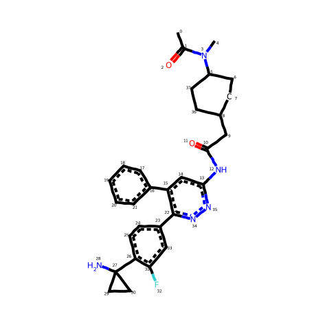 CC(=O)N(C)C1CCC(CC(=O)Nc2cc(-c3ccccc3)c(-c3ccc(C4(N)CC4)c(F)c3)nn2)CC1